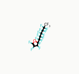 FC1=C(F)C(F)C(F)(C(F)(F)C(F)(F)C(F)(F)C(F)(F)C(F)(F)C(F)(F)F)O1